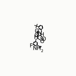 CC(C)(C)c1cccc(CN2C(=O)O[C@H]3[C@H](Cc4cc(F)c(N)c(C5CC5)c4)CS(=O)(=O)C[C@@H]32)c1